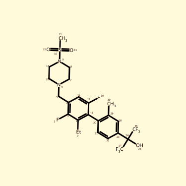 CCc1c(F)c(CN2CCN(S(C)(=O)=O)CC2)cc(F)c1-c1ccc(C(O)(C(F)(F)F)C(F)(F)F)cc1C